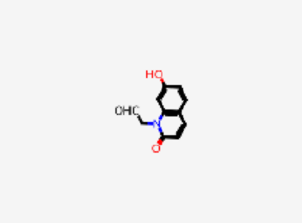 O=CCn1c(=O)ccc2ccc(O)cc21